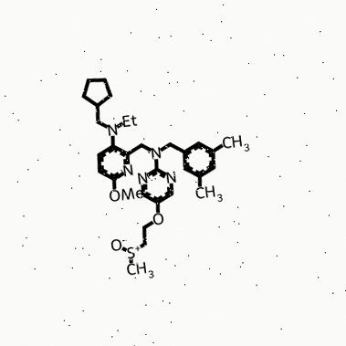 CCN(CC1CCCC1)c1ccc(OC)nc1CN(Cc1cc(C)cc(C)c1)c1ncc(OCC[S+](C)[O-])cn1